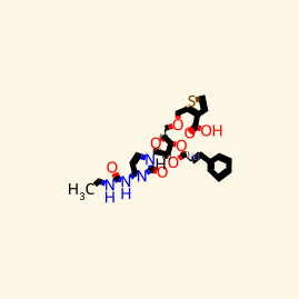 CCNC(=O)Nc1ccn([C@@H]2O[C@H](COCc3sccc3C(=O)O)C3O[C@H](/C=C/c4ccccc4)O[C@@H]32)c(=O)n1